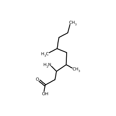 CCCC(C)CC(C)C(N)CC(=O)O